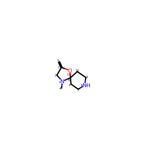 C=C1CN(C)C2(CCNCC2)O1